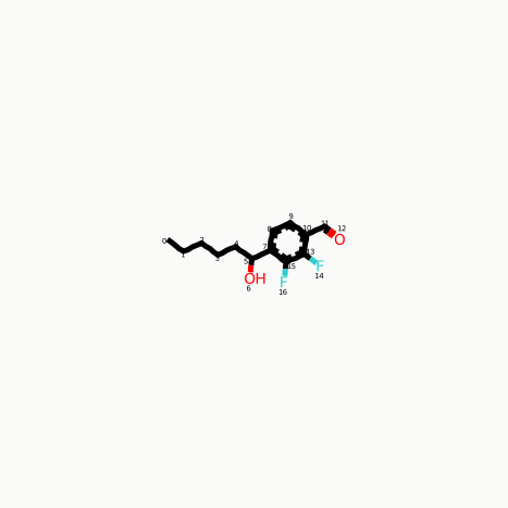 CCCCCC(O)c1ccc(C=O)c(F)c1F